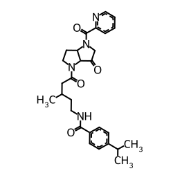 CC(CCNC(=O)c1ccc(C(C)C)cc1)CC(=O)N1CCC2C1C(=O)CN2C(=O)c1ccccn1